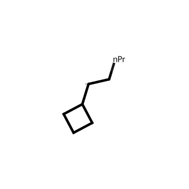 [CH2]CCC[CH]C1CCC1